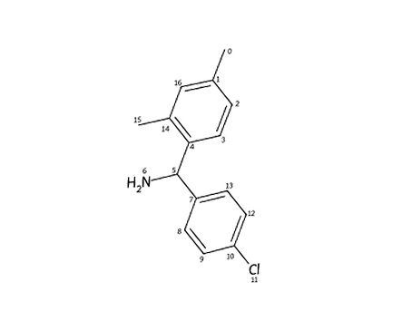 Cc1ccc(C(N)c2ccc(Cl)cc2)c(C)c1